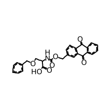 O=C(NC(COCc1ccccc1)C(=O)O)OCc1ccc2c(c1)C(=O)c1ccccc1C2=O